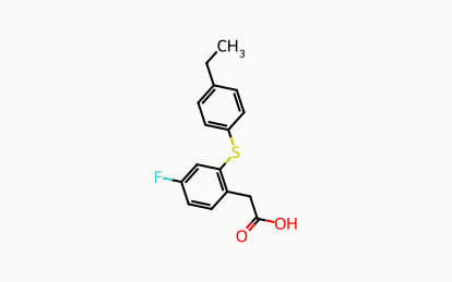 CCc1ccc(Sc2cc(F)ccc2CC(=O)O)cc1